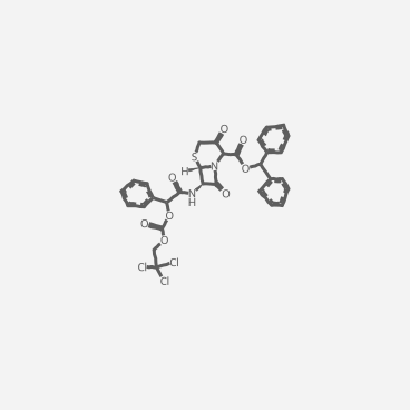 O=C(OCC(Cl)(Cl)Cl)OC(C(=O)N[C@@H]1C(=O)N2C(C(=O)OC(c3ccccc3)c3ccccc3)C(=O)CS[C@@H]12)c1ccccc1